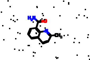 Cc1ccc2cccc(C(N)=O)c2n1